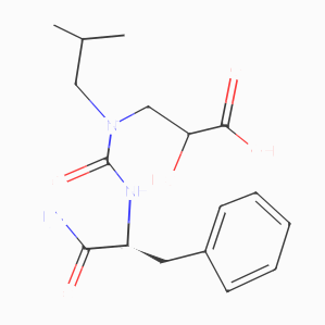 CC(C)CN(CC(O)C(=O)O)C(=O)N[C@@H](Cc1ccccc1)C(N)=O